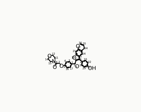 O=C(c1ccc(OCC(=O)N2CCOCC2)cc1)c1oc2cc3c(cc2c1-c1ccc(O)cc1)CC=CO3